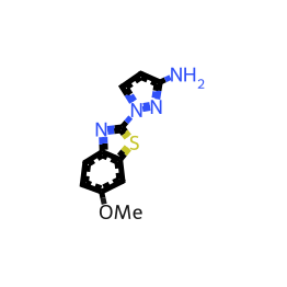 COc1ccc2nc(-n3ccc(N)n3)sc2c1